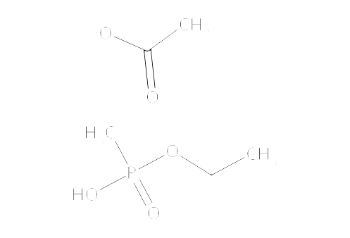 CC([O])=O.CCOP(C)(=O)O